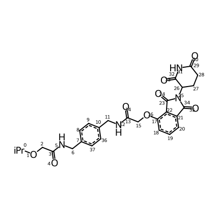 CC(C)OCC(=O)NCc1ccc(CNC(=O)COc2cccc3c2C(=O)N(C2CCC(=O)NC2=O)C3=O)cc1